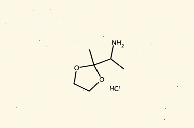 CC(N)C1(C)OCCO1.Cl